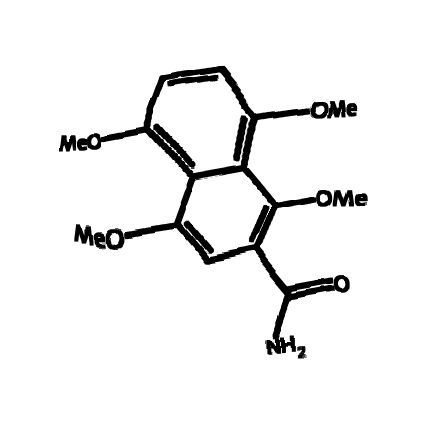 COc1ccc(OC)c2c(OC)c(C(N)=O)cc(OC)c12